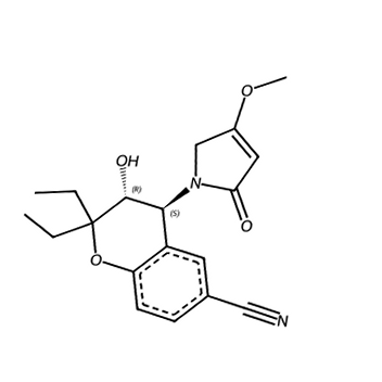 CCC1(CC)Oc2ccc(C#N)cc2[C@H](N2CC(OC)=CC2=O)[C@H]1O